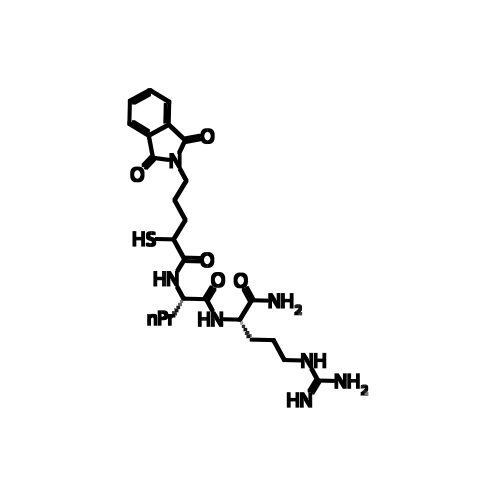 CCC[C@H](NC(=O)C(S)CCCN1C(=O)c2ccccc2C1=O)C(=O)N[C@@H](CCCNC(=N)N)C(N)=O